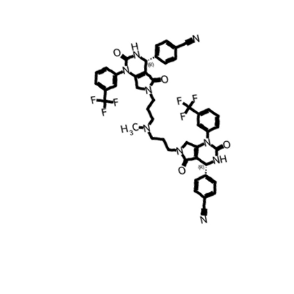 CN(CCCN1CC2=C(C1=O)[C@@H](c1ccc(C#N)cc1)NC(=O)N2c1cccc(C(F)(F)F)c1)CCCN1CC2=C(C1=O)[C@@H](c1ccc(C#N)cc1)NC(=O)N2c1cccc(C(F)(F)F)c1